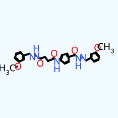 COc1cccc(/C=N/NC(=O)CCC(=O)Nc2ccc(C(=O)N/N=C/c3cccc(OC)c3)cc2)c1